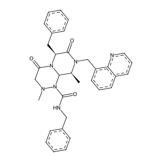 C[C@H]1C2N(C(=O)CN(C)N2C(=O)NCc2ccccc2)[C@@H](Cc2cc[c]cc2)C(=O)N1Cc1cccc2cccnc12